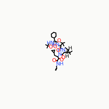 C=CCNC(=O)C(=O)C(CC1CC1)NC(=O)C1[C@@H]2[C@H](CN1C(=O)[C@@H](NC(=O)[C@@H](NC(=O)OC(C)(C)C)C1CCCCC1)C(C)(C)C)C2(C)C